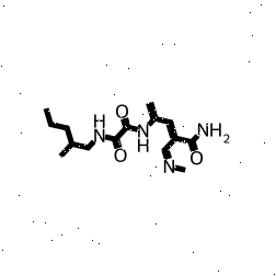 C=C(/C=C(\C=N/C)C(N)=O)NC(=O)C(=O)NCC(C)CCC